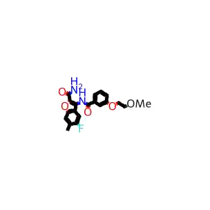 COCCOc1cccc(C(=O)Nc2c(C(N)=O)oc3cc(C)c(F)cc23)c1